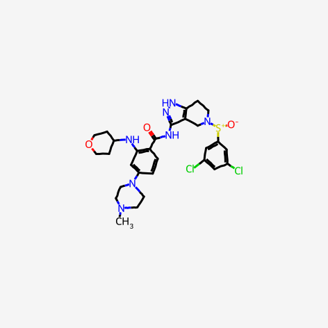 CN1CCN(c2ccc(C(=O)Nc3n[nH]c4c3CN([S+]([O-])c3cc(Cl)cc(Cl)c3)CC4)c(NC3CCOCC3)c2)CC1